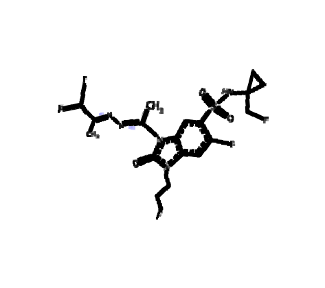 C/C(=N\N=C(/C)n1c(=O)n(CCF)c2cc(F)c(S(=O)(=O)NC3(CF)CC3)cc21)C(F)F